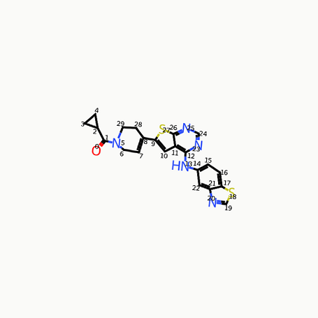 O=C(C1CC1)N1CC=C(c2cc3c(Nc4ccc5scnc5c4)ncnc3s2)CC1